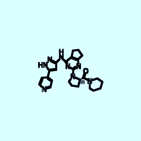 O=C([C@@H]1CCCN1c1nc2c(c(Nc3cc(-c4ccncc4)[nH]n3)n1)CCC2)N1CCCCC1